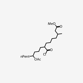 CCCCCC(CCCC(CCCCC(C)CC(=O)OC)C(=O)Cl)OC(C)=O